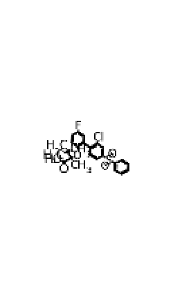 CC(C)(C)[C@](C)(Oc1ccc(F)cc1-c1ccc(S(=O)(=O)c2ccccc2)cc1Cl)C(=O)O